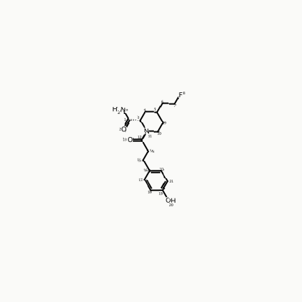 NC(=O)[C@@H]1CC(CCF)CCN1C(=O)[CH]Cc1ccc(O)cc1